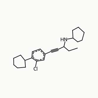 CCC(C#Cc1ccc(C2CCCCC2)c(Cl)c1)NC1CCCCC1